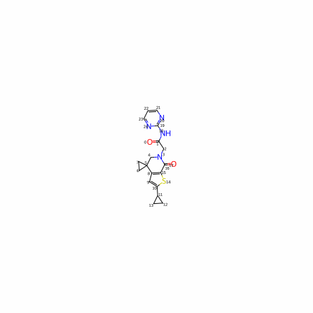 O=C(CN1CC2(CC2)c2cc(C3CC3)sc2C1=O)Nc1ncccn1